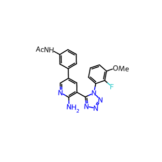 COc1cccc(-n2nnnc2-c2cc(-c3cccc(NC(C)=O)c3)cnc2N)c1F